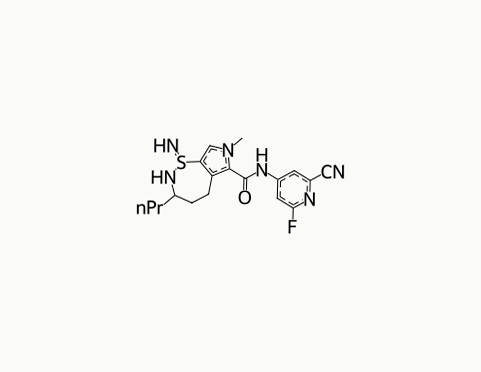 CCCC1CCc2c(cn(C)c2C(=O)Nc2cc(F)nc(C#N)c2)S(=N)N1